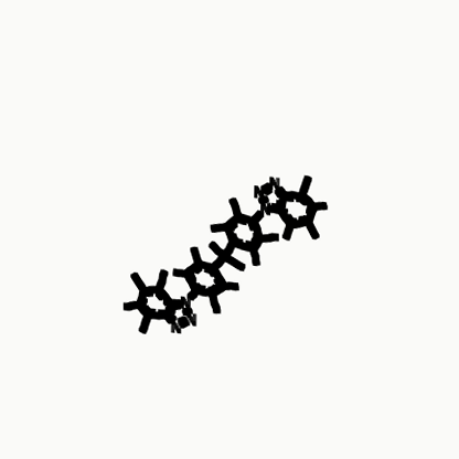 Cc1c(C)c(C(C)(C)c2c(C)c(C)c(-n3nnc4c(C)c(C)c(C)c(C)c43)c(C)c2C)c(C)c(C)c1-n1nnc2c(C)c(C)c(C)c(C)c21